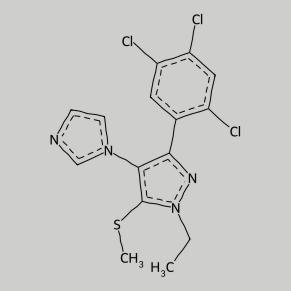 CCn1nc(-c2cc(Cl)c(Cl)cc2Cl)c(-n2ccnc2)c1SC